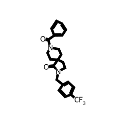 O=C(c1ccccc1)N1CCC2(CC1)CCN(Cc1ccc(C(F)(F)F)cc1)C2=O